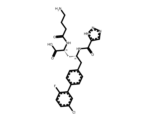 NCCCC(=O)N[C@H](C[C@@H](Cc1ccc(-c2cc(Cl)ccc2F)cc1)NC(=O)c1cnn[nH]1)C(=O)O